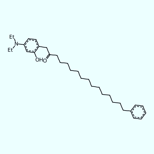 CCN(CC)c1ccc(CC(=O)CCCCCCCCCCCCCCc2ccccc2)c(O)c1